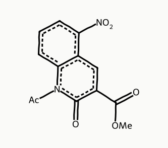 COC(=O)c1cc2c([N+](=O)[O-])cccc2n(C(C)=O)c1=O